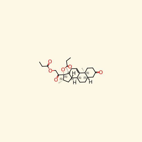 CCC(=O)OCC(=O)[C@]1(OC(=O)CC)[C@@H](C)C[C@H]2[C@@H]3CC[C@H]4CC(=O)CC[C@]4(C)C3=CC[C@@]21C